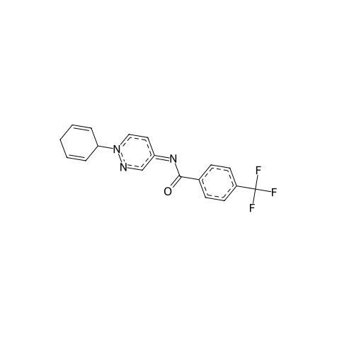 O=C(N=c1ccn(C2C=CCC=C2)nc1)c1ccc(C(F)(F)F)cc1